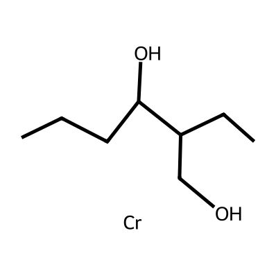 CCCC(O)C(CC)CO.[Cr]